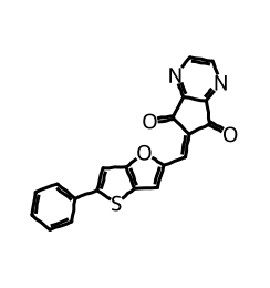 O=C1C(=Cc2cc3sc(-c4ccccc4)cc3o2)C(=O)c2nccnc21